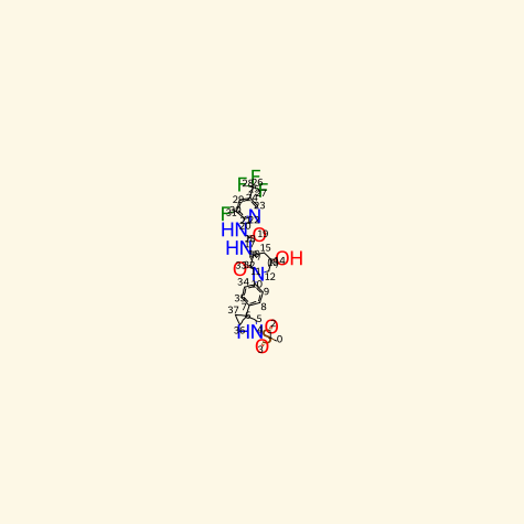 CS(=O)(=O)NCC1(c2ccc(N3C[C@H](O)C[C@@H](NC(=O)Nc4ncc(C(F)(F)F)cc4F)C3=O)cc2)CC1